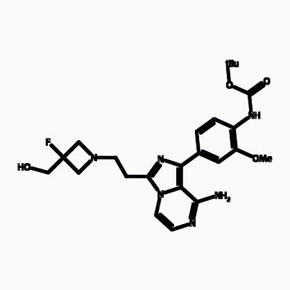 COc1cc(-c2nc(CCN3CC(F)(CO)C3)n3ccnc(N)c23)ccc1NC(=O)OC(C)(C)C